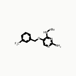 CCCCNc1nc(N)ncc1OCc1cccc(C(F)(F)F)c1